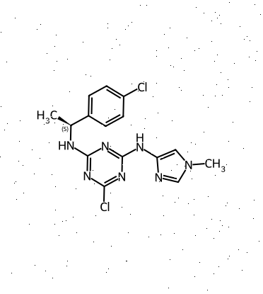 C[C@H](Nc1nc(Cl)nc(Nc2cn(C)cn2)n1)c1ccc(Cl)cc1